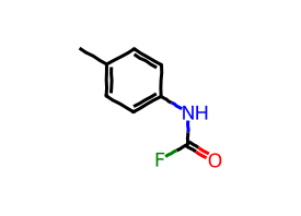 Cc1ccc(NC(=O)F)cc1